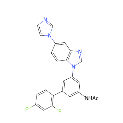 CC(=O)Nc1cc(-c2ccc(F)cc2F)cc(-n2cnc3cc(-n4ccnc4)ccc32)c1